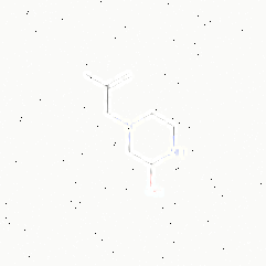 C=C(C)CN1CCNC(O)C1